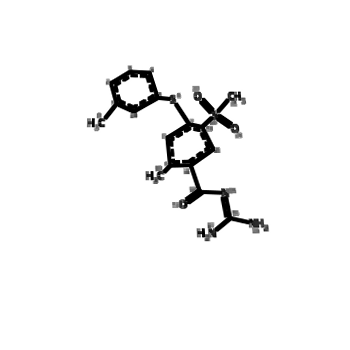 Cc1cccc(Sc2cc(C)c(C(=O)N=C(N)N)cc2S(C)(=O)=O)c1